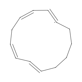 [C]1=C/C=C\C/C=C\C=C\CCCC/1